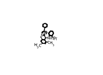 Cc1cc(C)c2c(c1)Cn1cc(-c3ccccc3)nc1C2Nc1c(C(C)C)cccc1C(C)C